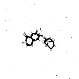 Cc1cc2c(=O)[nH]ccc2cc1OC1CC2CCC(C1)N2C